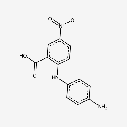 Nc1ccc(Nc2ccc([N+](=O)[O-])cc2C(=O)O)cc1